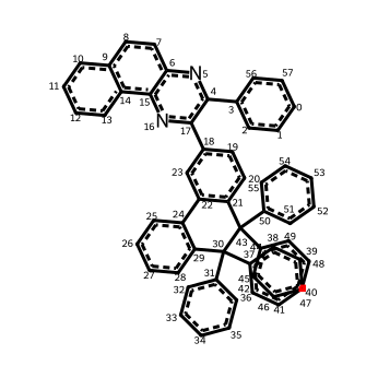 c1ccc(-c2nc3ccc4ccccc4c3nc2-c2ccc3c(c2)-c2ccccc2C(c2ccccc2)(c2ccccc2)C3(c2ccccc2)c2ccccc2)cc1